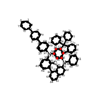 c1ccc(-c2ccc(-c3ccc(N(c4ccc5c(c4)C(c4ccccc4)(c4ccccc4)c4ccccc4-5)c4cccc5c4Oc4c(N(c6ccccc6)c6ccccc6)ccc6cccc-5c46)cc3)cc2)cc1